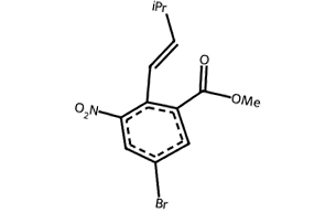 COC(=O)c1cc(Br)cc([N+](=O)[O-])c1/C=C/C(C)C